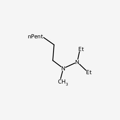 CCCCCCCN(C)N(CC)CC